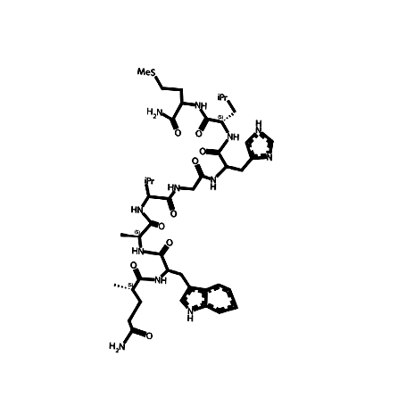 CSCCC(NC(=O)[C@H](CC(C)C)NC(=O)C(Cc1c[nH]cn1)NC(=O)CNC(=O)C(NC(=O)[C@H](C)NC(=O)C(Cc1c[nH]c2ccccc12)NC(=O)[C@@H](C)CCC(N)=O)C(C)C)C(N)=O